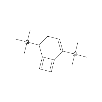 C[Si](C)(C)C1=CCC([Si](C)(C)C)C2=CC=C21